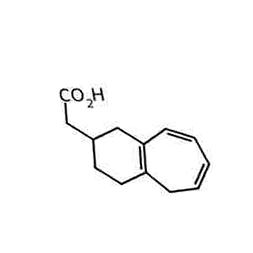 O=C(O)CC1CCC2=C(C=CC=CC2)C1